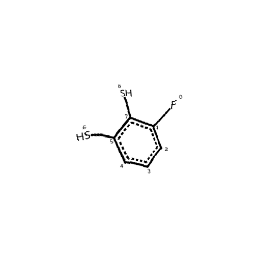 Fc1cccc(S)c1S